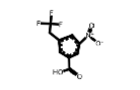 O=C(O)c1cc(CC(F)(F)F)cc([N+](=O)[O-])c1